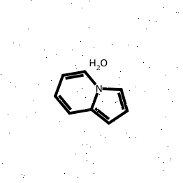 O.c1ccn2cccc2c1